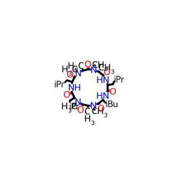 CCC(C)C1NC(=O)C(CC(C)C)NC(=O)C(C)N(C)C(=O)C(C)N(C)C(=O)C(CC(C)C)NC(=O)C(CC(C)C)N(C)C(=O)C(C)N(C)C1=O